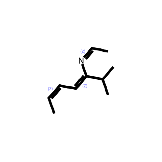 C\C=C/C=C(\N=C/C)C(C)C